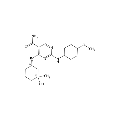 COC1CCC(Nc2ncc(C(N)=O)c(N[C@@H]3CCC[C@](C)(O)C3)n2)CC1